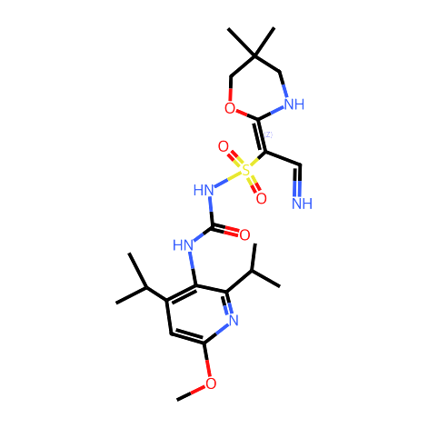 COc1cc(C(C)C)c(NC(=O)NS(=O)(=O)/C(C=N)=C2/NCC(C)(C)CO2)c(C(C)C)n1